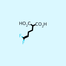 O=C(O)C(CCC=C(F)F)C(=O)O